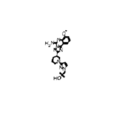 COc1cccc2c1nc(N)n1nc([C@@H]3CCCN(c4ccn(CC(C)(C)O)n4)C3)nc21